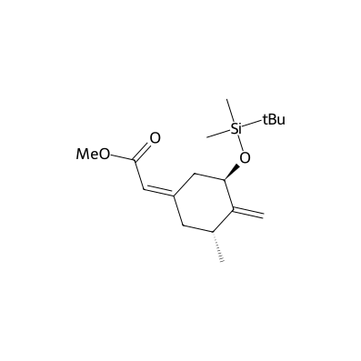 C=C1[C@H](C)C/C(=C/C(=O)OC)C[C@H]1O[Si](C)(C)C(C)(C)C